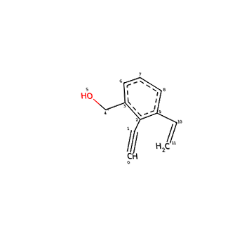 C#Cc1c([CH]O)cccc1C=C